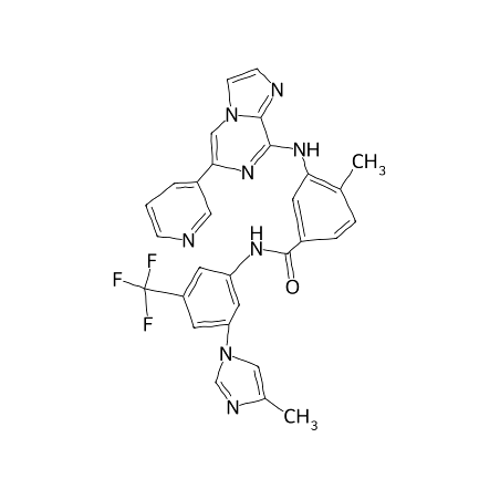 Cc1cn(-c2cc(NC(=O)c3ccc(C)c(Nc4nc(-c5cccnc5)cn5ccnc45)c3)cc(C(F)(F)F)c2)cn1